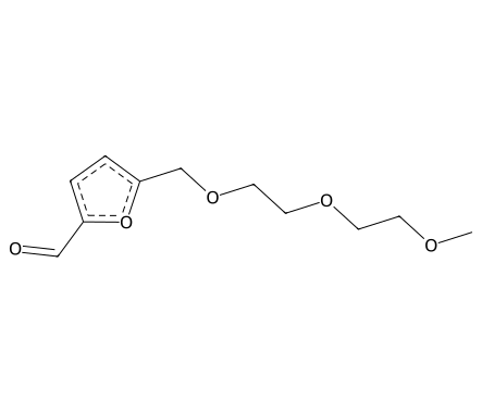 COCCOCCOCc1ccc(C=O)o1